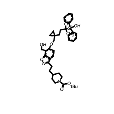 CC(C)(C)OC(=O)N1CCC(CCc2noc3c(CO)c(OCC4(CCC(C)(C)[Si](O)(c5ccccc5)c5ccccc5)CC4)ccc23)CC1